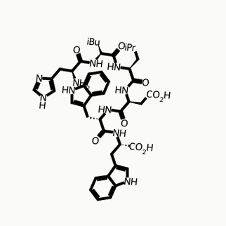 CC[C@H](C)[C@H](NC(=O)[C@@H](N)Cc1c[nH]cn1)C(=O)N[C@@H](CC(C)C)C(=O)N[C@@H](CC(=O)O)C(=O)N[C@@H](Cc1c[nH]c2ccccc12)C(=O)N[C@@H](Cc1c[nH]c2ccccc12)C(=O)O